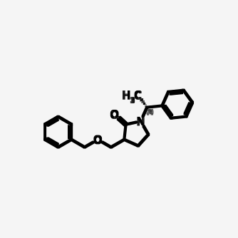 C[C@H](c1ccccc1)N1CCC(COCc2ccccc2)C1=O